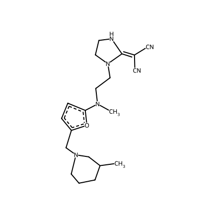 CC1CCCN(Cc2ccc(N(C)CCN3CCNC3=C(C#N)C#N)o2)C1